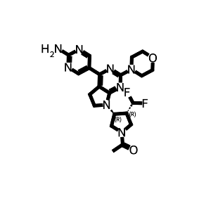 CC(=O)N1C[C@@H](C(F)F)[C@@H](N2CCc3c(-c4cnc(N)nc4)nc(N4CCOCC4)nc32)C1